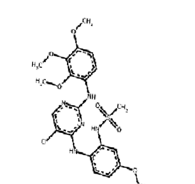 COc1ccc(Nc2nc(Nc3ccc(OC)c(OC)c3OC)ncc2Cl)c(NS(C)(=O)=O)c1